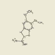 COc1cc2c(cc1OC)CC(C(=N)N)C2